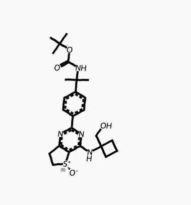 CC(C)(C)OC(=O)NC(C)(C)c1ccc(-c2nc3c(c(NC4(CO)CCC4)n2)[S@+]([O-])CC3)cc1